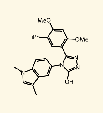 COc1cc(OC)c(C(C)C)cc1-c1nnc(O)n1-c1ccc2c(c1)c(C)cn2C